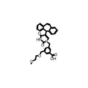 COCCOCc1cc(Cn2cc(C3c4ccccc4C=Cc4ccccc43)c(=O)[nH]c2=O)cc(C(=O)O)c1